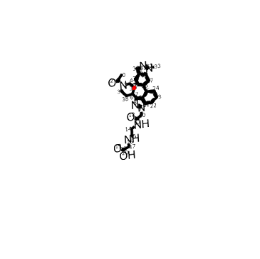 CC(=O)N1CCC(c2nn(CC(=O)NCCNCC(=O)O)c3cccc(-c4cc5c(cnn5C)cc4F)c23)CC1